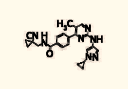 Cc1cnc(Nc2cnn(C3CC3)c2)nc1-c1ccc(C(=O)NCC2(C#N)CC2)cc1